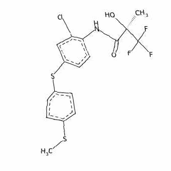 CSc1ccc(Sc2ccc(NC(=O)[C@@](C)(O)C(F)(F)F)c(Cl)c2)cc1